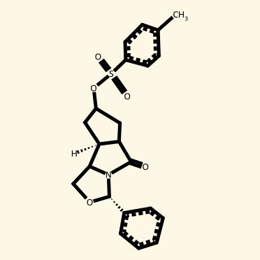 Cc1ccc(S(=O)(=O)OC2CC3C(=O)N4C(CO[C@H]4c4ccccc4)[C@H]3C2)cc1